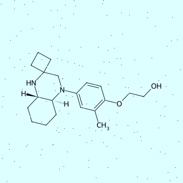 Cc1cc(N2CC3(CCC3)N[C@H]3CCCC[C@@H]32)ccc1OCCO